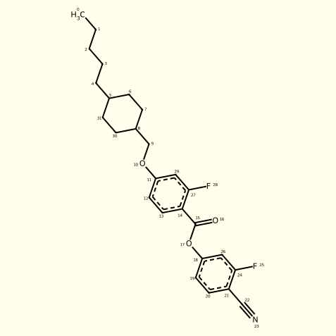 CCCCCC1CCC(COc2ccc(C(=O)Oc3ccc(C#N)c(F)c3)c(F)c2)CC1